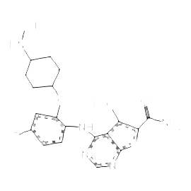 CNC1CCC(Oc2cc(F)ccc2Nc2ncnc3sc(C(N)=O)c(C)c23)CC1